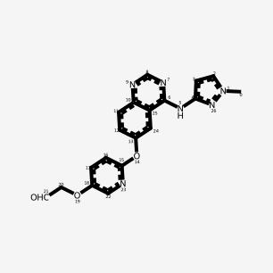 Cn1ccc(Nc2ncnc3ccc(Oc4ccc(OCC=O)cn4)cc23)n1